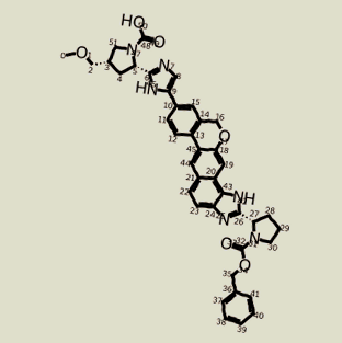 COC[C@H]1C[C@@H](c2ncc(-c3ccc4c(c3)COc3cc5c(ccc6nc([C@@H]7CCCN7C(=O)OCc7ccccc7)[nH]c65)cc3-4)[nH]2)N(C(=O)O)C1